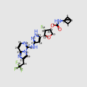 O=C(NC12CC(C1)C2)O[C@@H]1CO[C@H](c2cc(Nc3nccc4nc(CC(F)(F)F)cn34)n[nH]2)[C@@H]1F